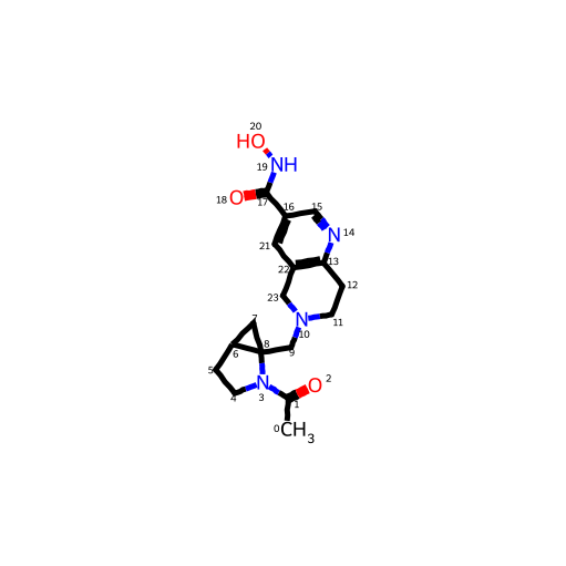 CC(=O)N1CCC2CC21CN1CCc2ncc(C(=O)NO)cc2C1